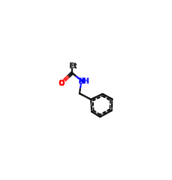 CCC(=O)NCc1ccccc1